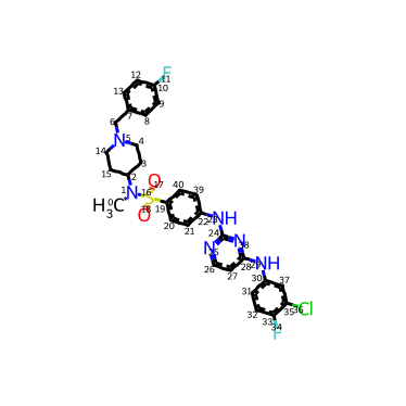 CN(C1CCN(Cc2ccc(F)cc2)CC1)S(=O)(=O)c1ccc(Nc2nccc(Nc3ccc(F)c(Cl)c3)n2)cc1